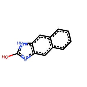 Oc1nc2cc3ccccc3cc2[nH]1